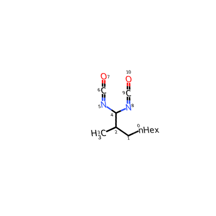 CCCCCCCC(C)C(N=C=O)N=C=O